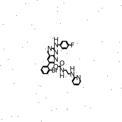 O=C(NCCNc1ccccn1)Oc1nc2nc(Nc3ccc(F)cc3)ncc2cc1-c1ccccc1Br